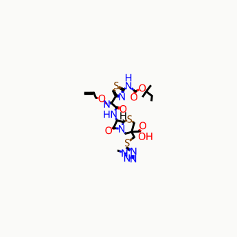 C=CCON=C(C(=O)NC1C(=O)N2CC(CSc3nnnn3C)(C(=O)O)CS[C@H]12)c1csc(NC(=O)OC(C)(C)CC)n1